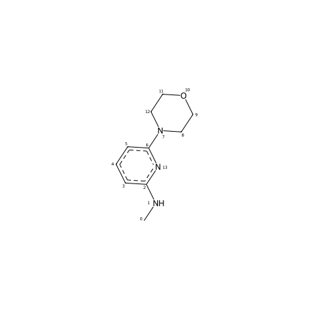 CNc1cccc(N2CCOCC2)n1